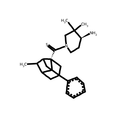 CC1C2CC3(c4ccccc4)CC1[C@](C(=S)N1CC[C@H](N)C(C)(C)C1)(C2)C3